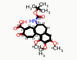 COc1cc2c(c(OC)c1OC)-c1ccc(=O)c(C(=O)O)cc1[C@@H](NC(=O)OC(C)(C)C)CC2